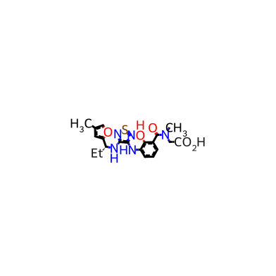 CC[C@@H](Nc1nsnc1Nc1cccc(C(=O)N(C)CC(=O)O)c1O)c1cc(C)co1